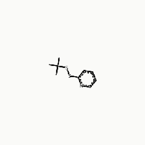 CC(C)(C)SSc1ccccn1